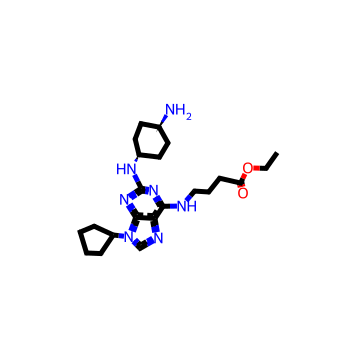 CCOC(=O)CCCNc1nc(N[C@H]2CC[C@H](N)CC2)nc2c1ncn2C1CCCC1